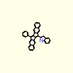 c1ccc(C2=C3C(=C(C4=Nc5ccccc5C4)c4cc5ccccc5cc43)c3cc4ccccc4cc32)cc1